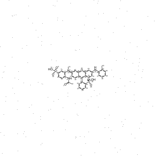 CC(=O)Nc1ccc(S(=O)(=O)O)cc1/[N+](C)=c1\ccc2c(-c3ccccc3S(=O)(=O)O)c3ccc(Nc4ccccc4C)cc3oc-2c1